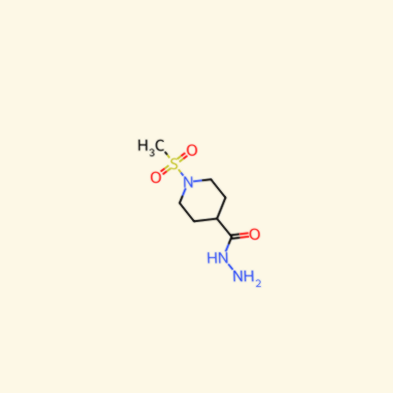 CS(=O)(=O)N1CCC(C(=O)NN)CC1